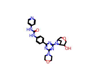 O=C(Nc1ccncc1)Nc1ccc(-c2nc(N3CCOCC3)nc(N3C4COCC(O)C3C4)n2)cc1